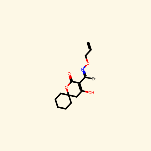 C=CCON=C(CC)C1=C(O)CC2(CCCCC2)OC1=O